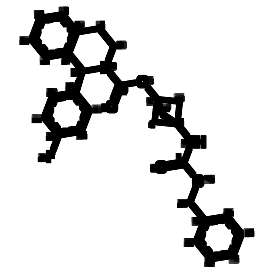 O=C(NC12CC(OC(=O)N3CCc4ccccc4[C@@H]3c3ccc(F)cc3)(C1)C2)OCc1ccccc1